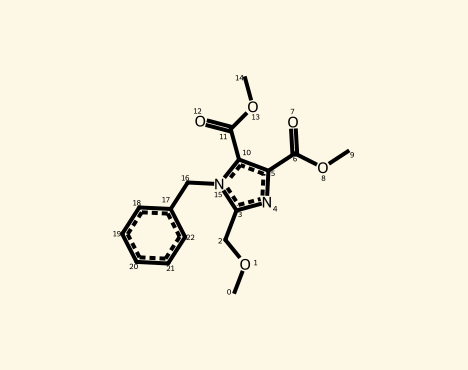 COCc1nc(C(=O)OC)c(C(=O)OC)n1Cc1ccccc1